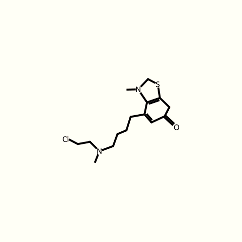 CN(CCCl)CCCCC1=CC(=O)CC2=C1N(C)CS2